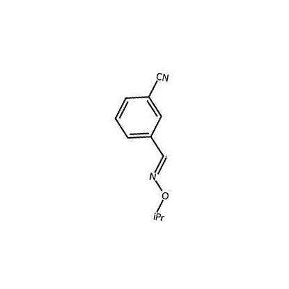 CC(C)O/N=[C]/c1cccc(C#N)c1